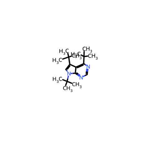 CC(C)(C)c1cn(C(C)(C)C)c2ncnc(C(C)(C)C)c12